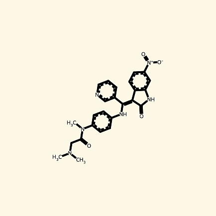 CN(C)CC(=O)N(C)c1ccc(N/C(=C2\C(=O)Nc3cc([N+](=O)[O-])ccc32)c2cccnc2)cc1